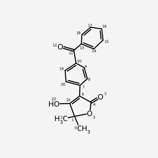 CC1(C)OC(=O)C(c2ccc(C(=O)c3ccccc3)cc2)=C1O